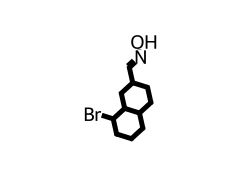 ON=CC1CCC2CCCC(Br)C2C1